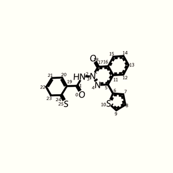 O=C(Nn1nc(-c2cccs2)c2ccccc2c1=O)C1=CC=CCC1=S